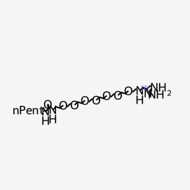 CCCCCNC(=O)NCCOCCOCCOCCOCCOCCOCCOCCN/C=C(/CN)N=N